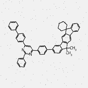 CC1(C)c2ccc(-c3ccc(-c4cc(-c5ccc(-c6ccccc6)cc5)nc(-c5ccccc5)n4)cc3)cc2-c2cc3c(cc21)-c1ccccc1C31CCCCC1